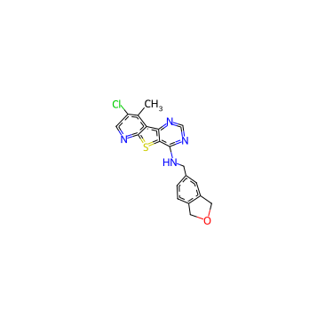 Cc1c(Cl)cnc2sc3c(NCc4ccc5c(c4)COC5)ncnc3c12